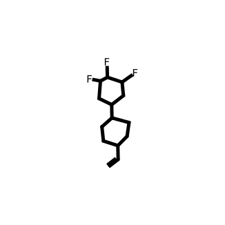 C=CC1CCC(C2CC(F)C(F)C(F)C2)CC1